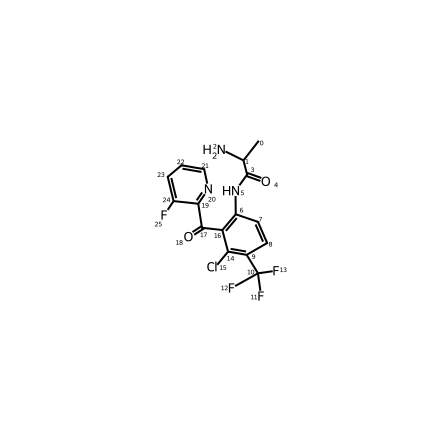 CC(N)C(=O)Nc1ccc(C(F)(F)F)c(Cl)c1C(=O)c1ncccc1F